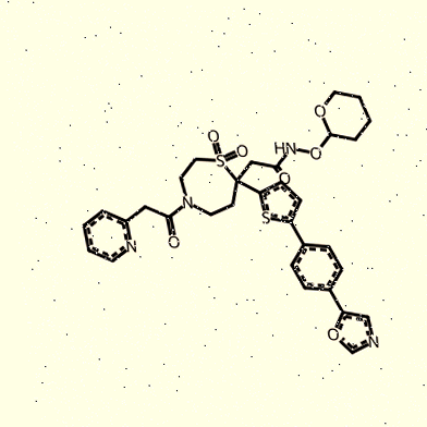 O=C(CC1(c2ccc(-c3ccc(-c4cnco4)cc3)s2)CCN(C(=O)Cc2ccccn2)CCS1(=O)=O)NOC1CCCCO1